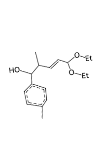 CCOC(/C=C/C(C)C(O)c1ccc(C)cc1)OCC